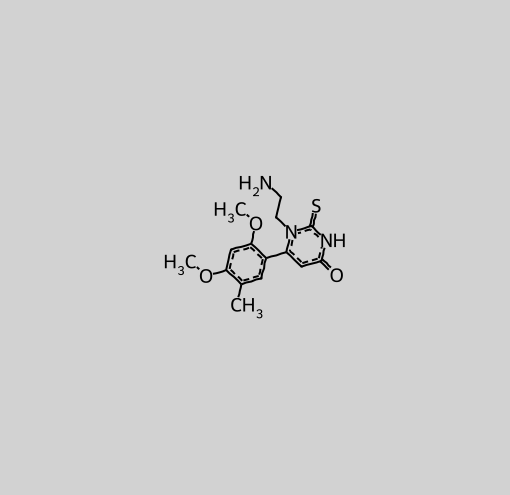 COc1cc(OC)c(-c2cc(=O)[nH]c(=S)n2CCN)cc1C